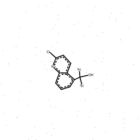 [2H]C([2H])(O)c1cccc2nc(Cl)ccc12